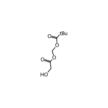 CC(C)(C)C(=O)OCOC(=O)CO